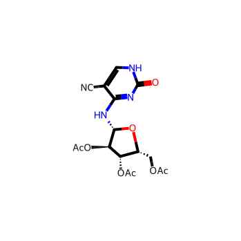 CC(=O)OC[C@H]1O[C@@H](Nc2nc(=O)[nH]cc2C#N)[C@H](OC(C)=O)[C@H]1OC(C)=O